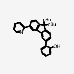 CCCCC1(CCCC)c2ccc(-c3ccccn3)cc2-c2cc(-c3ccccc3O)ccc21